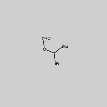 CC(C)C(O[C]=O)C(C)(C)C